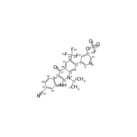 CC(C)n1c2cc(-c3cncc(OS(=O)(=O)F)c3)c(C(F)(F)F)cc2c(=O)c2c3ccc(C#N)cc3[nH]c21